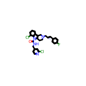 O=C(NCc1ccnc(Cl)c1)n1c2c(c3cccc(Cl)c31)CN(C/C=C/c1ccc(F)cc1)CC2